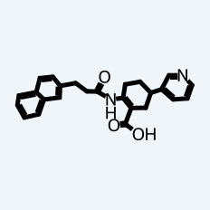 O=C(CCc1ccc2ccccc2c1)NC1=C(C(=O)O)CC(c2cccnc2)CC1